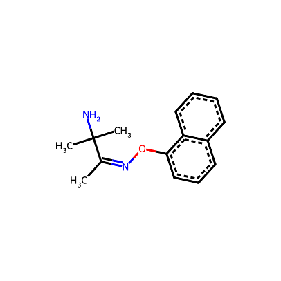 CC(=NOc1cccc2ccccc12)C(C)(C)N